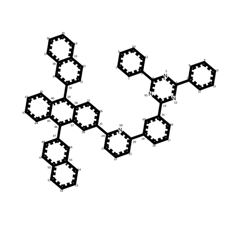 c1ccc(-c2nc(-c3ccccc3)nc(-c3cccc(-c4cccc(-c5ccc6c(-c7ccc8ccccc8c7)c7ccccc7c(-c7ccc8ccccc8c7)c6c5)n4)c3)n2)cc1